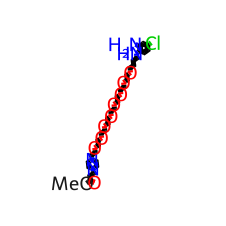 COC(=O)CCN1CCN(CCOCCOCCOCCOCCOCCOCCOCCOCCCCNc2ccc(Cl)cc2N)CC1